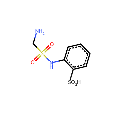 NCS(=O)(=O)Nc1ccccc1S(=O)(=O)O